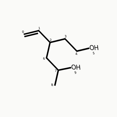 C=CC(CCO)CC(C)O